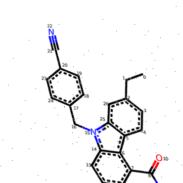 CCc1c[c]c2c3c(C(N)=O)cccc3n(Cc3ccc(C#N)cc3)c2c1